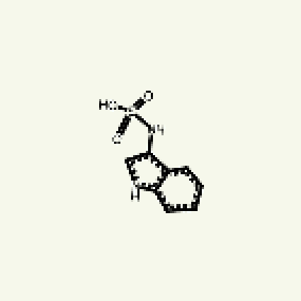 O=S(=O)(O)Nc1c[nH]c2ccccc12